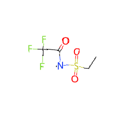 CCS(=O)(=O)[N]C(=O)C(F)(F)F